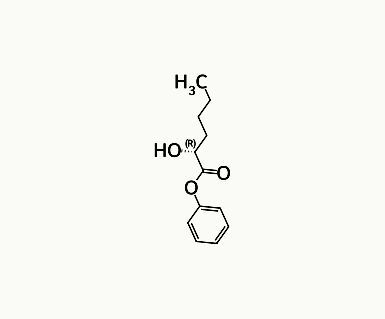 CCCC[C@@H](O)C(=O)Oc1ccccc1